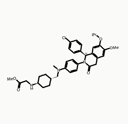 COC(=O)CN[C@H]1CC[C@H](CN(C)c2ccc(N3C(=O)Cc4cc(OC)c(OC(C)C)cc4[C@@H]3c3ccc(Cl)cc3)cc2)CC1